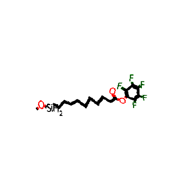 CO[SiH2]CCCCCCCCCCC(=O)Oc1c(F)c(F)c(F)c(F)c1F